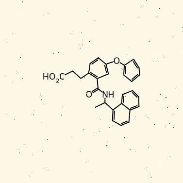 CC(NC(=O)c1cc(Oc2ccccc2)ccc1CCC(=O)O)c1cccc2ccccc12